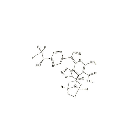 CC(=O)c1c([C@H]2C[C@H]3CC[C@@H](C2)N3C(=O)c2nnc[nH]2)nc2c(-c3ccc([C@@H](O)C(F)(F)F)nc3)cnn2c1N